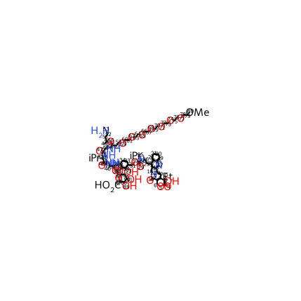 CC[C@@]1(O)C(=O)OCc2c1cc1n(c2=O)Cc2c-1nc1ccccc1c2CCN(C(=O)OCc1ccc(NC(=O)[C@H](C)NC(=O)[C@@H](NC(=O)[C@H](CCCCN)NC(=O)CCOCCOCCOCCOCCOCCOCCOCCOC)C(C)C)c(O[C@@H]2O[C@H](C(=O)O)[C@@H](O)[C@H](O)[C@H]2O)c1)C(C)C